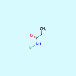 CCC(=O)NBr